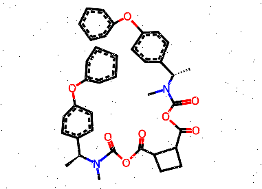 C[C@@H](c1ccc(Oc2ccccc2)cc1)N(C)C(=O)OC(=O)C1CCC1C(=O)OC(=O)N(C)[C@@H](C)c1ccc(Oc2ccccc2)cc1